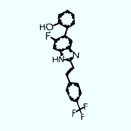 Oc1ccccc1-c1cc2nc(C=Cc3ccc(C(F)(F)F)cc3)[nH]c2cc1F